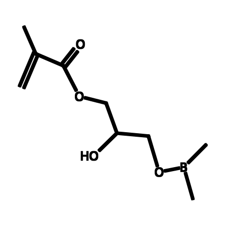 C=C(C)C(=O)OCC(O)COB(C)C